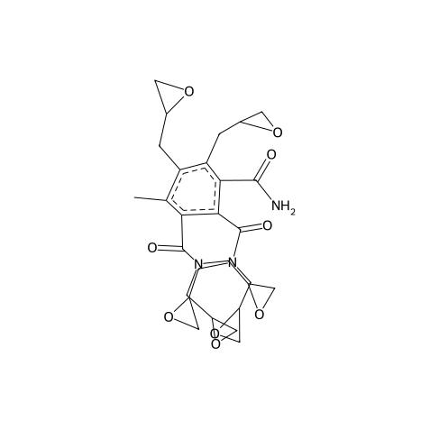 Cc1c(CC2CO2)c(CC2CO2)c(C(N)=O)c(C(=O)N(CC2CO2)CC2CO2)c1C(=O)N(CC1CO1)CC1CO1